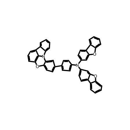 c1ccc2c(c1)oc1cc(N(c3ccc(-c4ccc5c(c4)-n4c6ccccc6c6cccc(c64)O5)cc3)c3ccc4c(c3)oc3ccccc34)ccc12